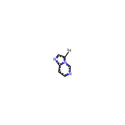 [2H]c1cnc2ccncn12